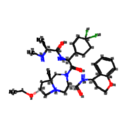 CCO[C@@H]1C[C@@H]2CN(C(=O)[C@@H](NC(=O)[C@H](C)NC)C3CCC(F)(F)CC3)[C@H](C(=O)NC3CCOc4ccccc43)CN2C1